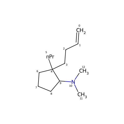 C=CCCC1(CCC)CCCC1N(C)C